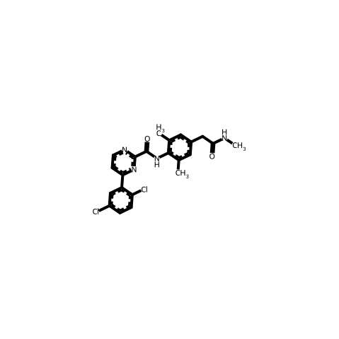 CNC(=O)Cc1cc(C)c(NC(=O)c2nccc(-c3cc(Cl)ccc3Cl)n2)c(C)c1